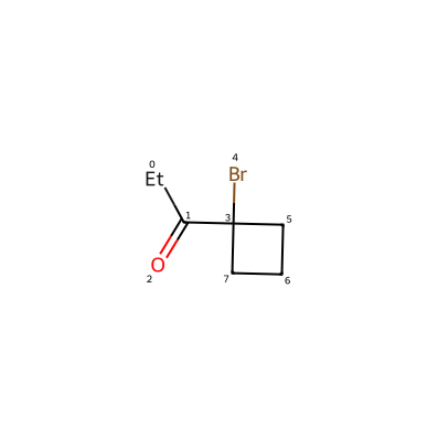 CCC(=O)C1(Br)CCC1